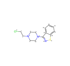 ClCCN1CCN(c2nsc3ccccc23)CC1